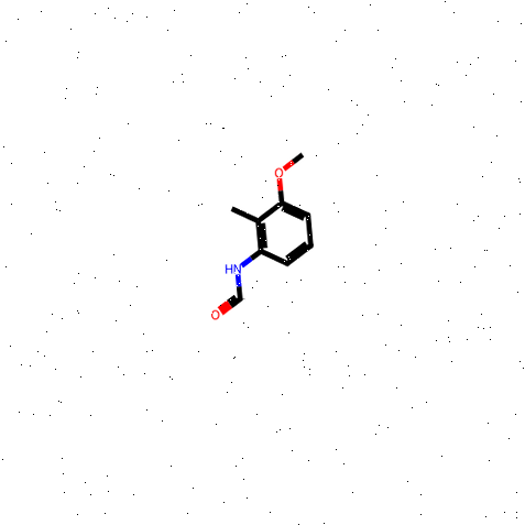 COc1cccc(N[C]=O)c1C